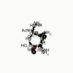 CC(=O)N[C@@H](CCCNC(=N)N)C(=O)N[C@H]1CCC(=O)NCCC[C@@H](C(=O)O)NC(=O)[C@H](Cc2c[nH]c3ccccc23)NC(=O)C(CCCNC(=N)N)NC(=O)[C@@H](Cc2ccccc2)NC(=O)[C@H](CCCCN)NC1=O